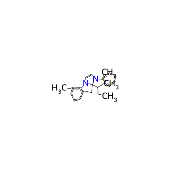 CCCCN1C=CN(C(C)C)C1(Cc1ccccc1)C(CC)c1ccccc1